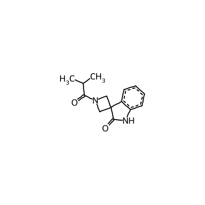 CC(C)C(=O)N1CC2(C1)C(=O)Nc1ccccc12